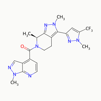 C[C@H]1c2nn(C)c(-c3cc(C(F)(F)F)n(C)n3)c2CCN1C(=O)c1ccnc2c1cnn2C